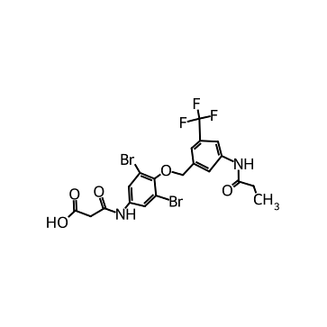 CCC(=O)Nc1cc(COc2c(Br)cc(NC(=O)CC(=O)O)cc2Br)cc(C(F)(F)F)c1